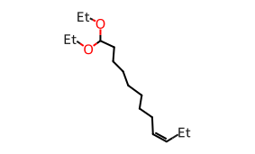 CC/C=C\CCCCCCCC(OCC)OCC